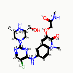 CNC(=O)COc1cc2cc(Nc3nc(N4C[C@@H](CO)N[C@@H](C)C4)ncc3Cl)ccc2n(C)c1=O